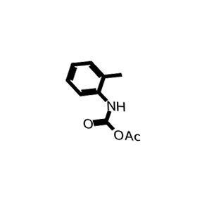 CC(=O)OC(=O)Nc1ccccc1C